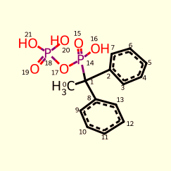 CC(c1ccccc1)(c1ccccc1)P(=O)(O)OP(=O)(O)O